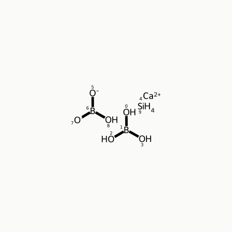 OB(O)O.[Ca+2].[O-]B([O-])O.[SiH4]